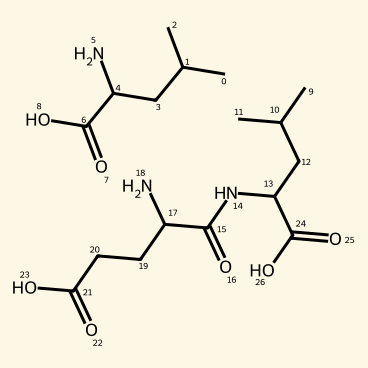 CC(C)CC(N)C(=O)O.CC(C)CC(NC(=O)C(N)CCC(=O)O)C(=O)O